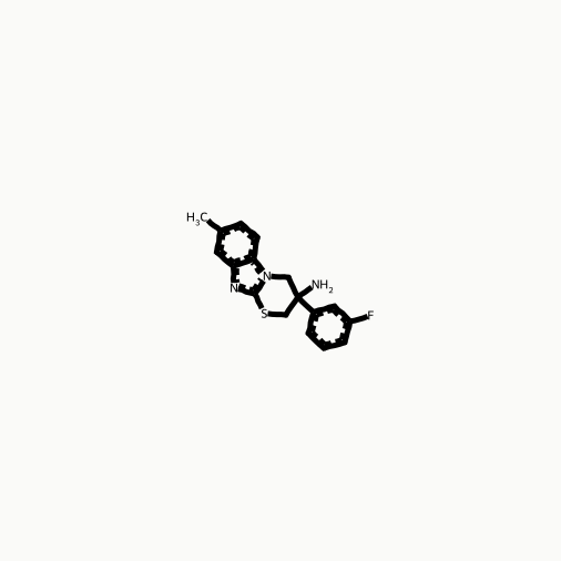 Cc1ccc2c(c1)nc1n2CC(N)(c2cccc(F)c2)CS1